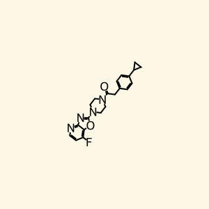 O=C(Cc1ccc(C2CC2)cc1)N1CCN(c2nc3nccc(F)c3o2)CC1